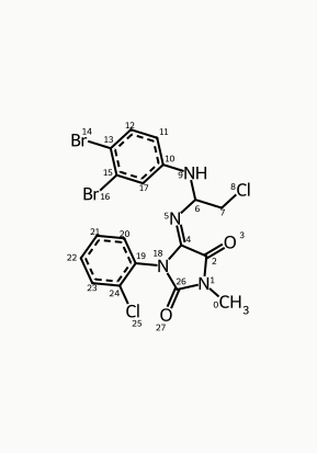 CN1C(=O)C(=NC(CCl)Nc2ccc(Br)c(Br)c2)N(c2ccccc2Cl)C1=O